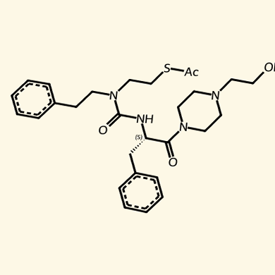 CC(=O)SCCN(CCc1ccccc1)C(=O)N[C@@H](Cc1ccccc1)C(=O)N1CCN(CCO)CC1